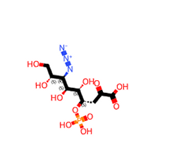 [N-]=[N+]=N[C@@H]([C@H](O)[C@H](O)[C@H](CC(=O)C(=O)O)OP(=O)(O)O)[C@H](O)CO